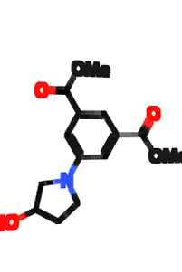 COC(=O)c1cc(C(=O)OC)cc(N2CCC(O)C2)c1